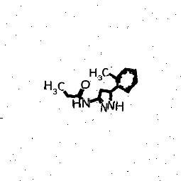 CCC(=O)NC1=NNC(c2ccccc2C)C1